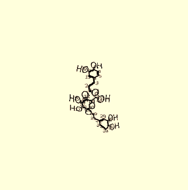 O=C(C=Cc1ccc(O)c(O)c1)O[C@H]1[C@H](O)[C@@H](O)[C@H](OCCc2ccc(O)c(O)c2)O[C@@H]1CO